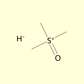 C[S+](C)(C)=O.[H-]